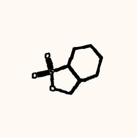 O=S1(=O)OCC2CCCCC21